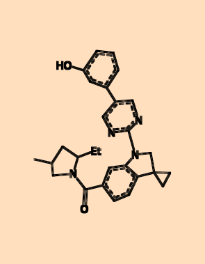 CCC1CC(C)CN1C(=O)c1ccc2c(c1)N(c1ncc(-c3cccc(O)c3)cn1)CC21CC1